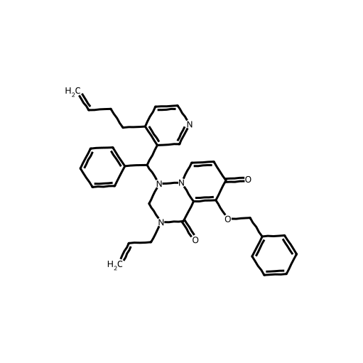 C=CCCc1ccncc1C(c1ccccc1)N1CN(CC=C)C(=O)c2c(OCc3ccccc3)c(=O)ccn21